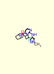 Cn1cc(Nc2nccc(N3CC4CCC(C3)N4C(=O)C3CC(F)(F)C3)n2)cn1